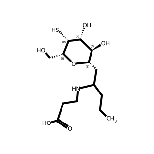 CCCC(C[C@@H]1O[C@H](CO)[C@H](S)[C@H](O)[C@H]1O)NCCC(=O)O